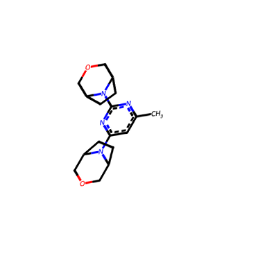 Cc1cc(N2C3CCC2COC3)nc(N2C3CCC2COC3)n1